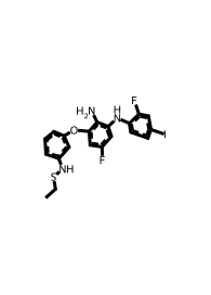 CCSNc1cccc(Oc2cc(F)cc(Nc3ccc(I)cc3F)c2N)c1